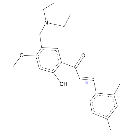 CCN(CC)Cc1cc(C(=O)/C=C/c2ccc(C)cc2C)c(O)cc1OC